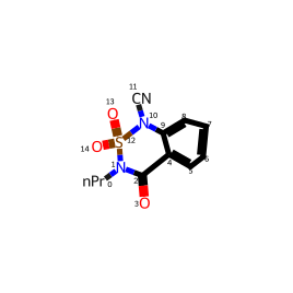 CCCN1C(=O)c2ccccc2N(C#N)S1(=O)=O